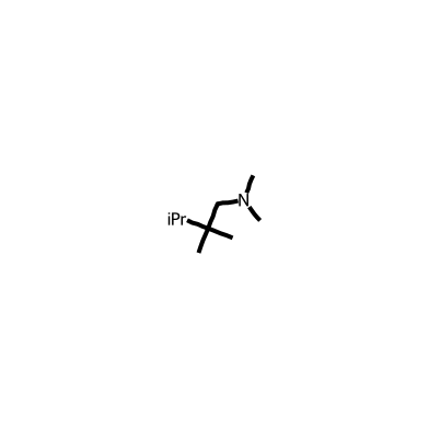 CC(C)C(C)(C)CN(C)C